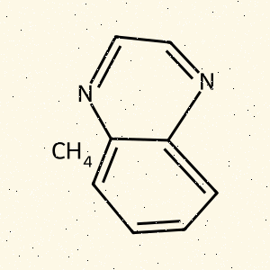 C.c1ccc2nccnc2c1